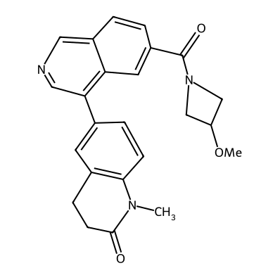 COC1CN(C(=O)c2ccc3cncc(-c4ccc5c(c4)CCC(=O)N5C)c3c2)C1